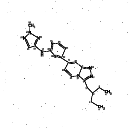 CCC(CC)Cc1nnc2cc(-c3ccnc(Nc4cnn(C)n4)n3)ccn12